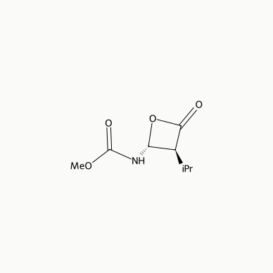 COC(=O)N[C@@H]1OC(=O)[C@H]1C(C)C